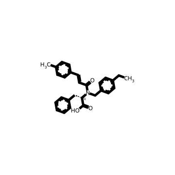 CCc1ccc(CN(C(=O)C=Cc2ccc(C)cc2)[C@@H](Cc2ccccc2)C(=O)O)cc1